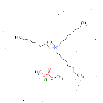 CCCCCCCC[N+](C)(CCCCCCCC)CCCCCCCC.COC(=O)OC.[Cl-]